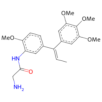 CC=C(c1ccc(OC)c(NC(=O)CN)c1)c1cc(OC)c(OC)c(OC)c1